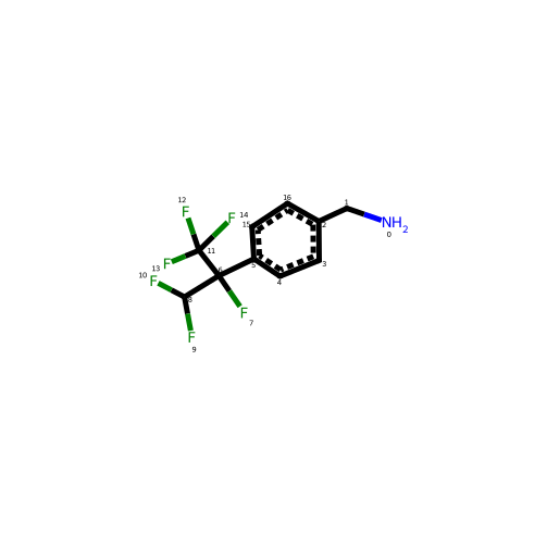 NCc1ccc(C(F)(C(F)F)C(F)(F)F)cc1